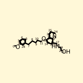 COc1cccc(CCCCCOc2ccc(CNCCO)c3ncccc23)c1